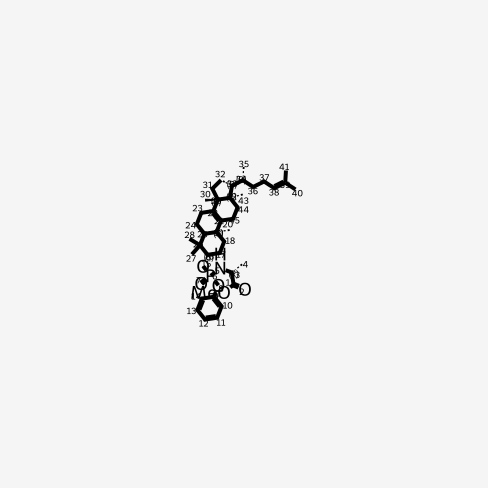 COC(=O)[C@@H](C)NP(=O)(Oc1ccccc1)O[C@H]1CC[C@]2(C)C3=C(CCC2C1(C)C)[C@]1(C)CC[C@H]([C@H](C)CCC=C(C)C)[C@@]1(C)CC3